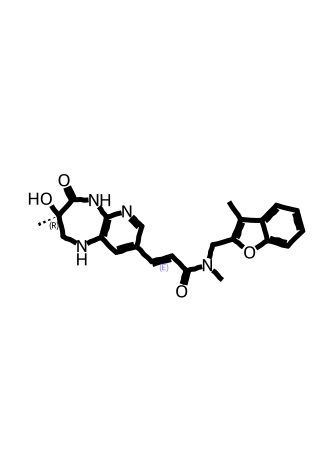 Cc1c(CN(C)C(=O)/C=C/c2cnc3c(c2)NC[C@@](C)(O)C(=O)N3)oc2ccccc12